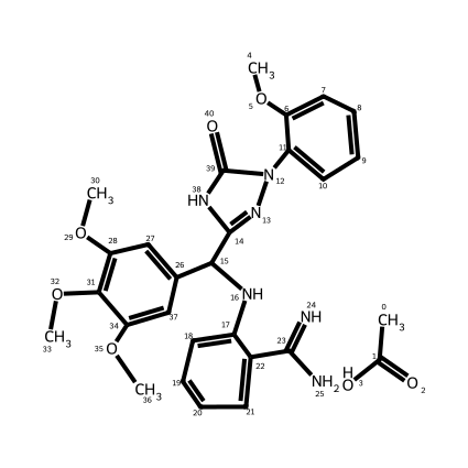 CC(=O)O.COc1ccccc1-n1nc(C(Nc2ccccc2C(=N)N)c2cc(OC)c(OC)c(OC)c2)[nH]c1=O